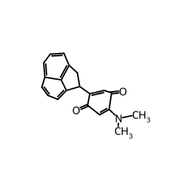 CN(C)C1=CC(=O)C(C2Cc3cccc4cccc2c34)=CC1=O